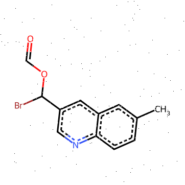 Cc1ccc2ncc(C(Br)OC=O)cc2c1